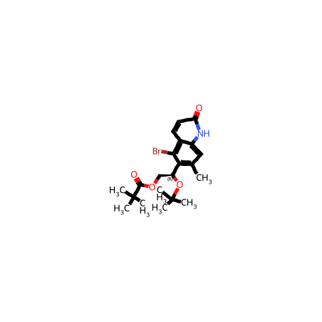 Cc1cc2[nH]c(=O)ccc2c(Br)c1[C@H](COC(=O)C(C)(C)C)OC(C)(C)C